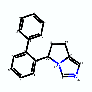 c1ccc(-c2ccccc2C2CCc3cncn32)cc1